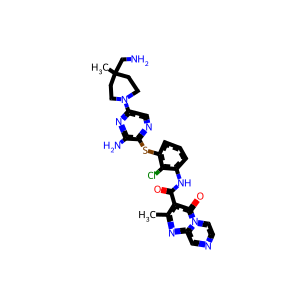 Cc1nc2cnccn2c(=O)c1C(=O)Nc1cccc(Sc2ncc(N3CCC(C)(CN)CC3)nc2N)c1Cl